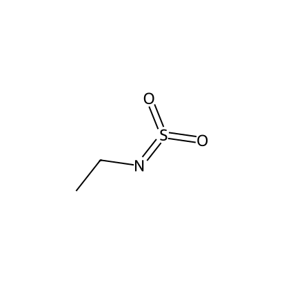 CCN=S(=O)=O